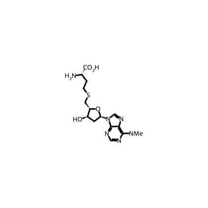 CNc1ncnc2c1ncn2[C@H]1C[C@@H](O)[C@@H](CSCC[C@H](N)C(=O)O)O1